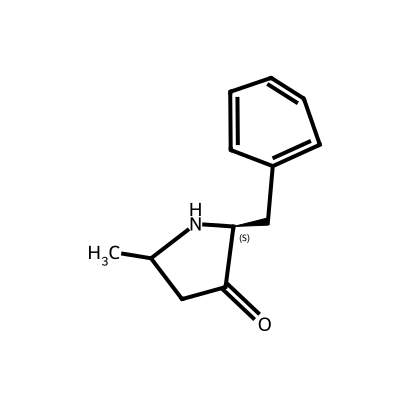 CC1CC(=O)[C@H](Cc2ccccc2)N1